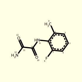 Cc1cccc(F)c1NC(=O)C(N)=O